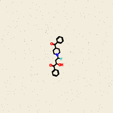 O=C(c1ccccc1)C(O)CC(F)N1CCC(C(=O)c2ccccc2)CC1